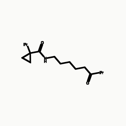 CC(C)C(=O)CCCCCNC(=O)C1(C(C)C)CC1